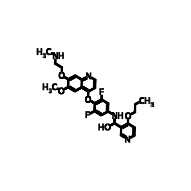 CCCOc1ccncc1C(O)Nc1cc(F)c(Oc2ccnc3cc(OCCNC)c(OC)cc23)c(F)c1